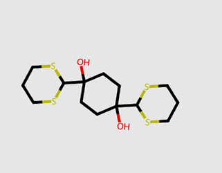 OC1(C2SCCCS2)CCC(O)(C2SCCCS2)CC1